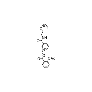 CC(=O)Oc1ccccc1C(=O)OC[n+]1cccc(C(=O)NCCO[N+](=O)[O-])c1